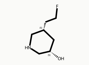 O[C@@H]1CNC[C@H](CCF)C1